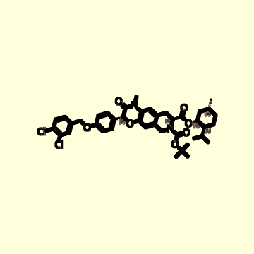 CC(C)[C@@H]1CC[C@@H](C)C[C@H]1OC(=O)[C@@H]1Cc2cc3c(cc2CN1C(=O)OC(C)(C)C)O[C@H](c1ccc(OCc2ccc(Cl)c(Cl)c2)cc1)C(=O)N3C